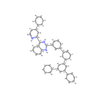 c1ccc(-c2cc(-c3ccccc3)cc(-c3cccc(-c4cccc(-c5nc(-c6cc(-c7ccccc7)ccn6)c6ccccc6n5)c4)c3)c2)cc1